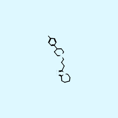 Cc1ccc(C2CCN(CCCc3nnc4n3CCCCC4)CC2)cc1